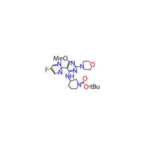 COc1nc(N2CCOCC2)nc(N[C@@H]2CCCN(C(=O)OC(C)(C)C)C2)c1-c1ncc(F)cn1